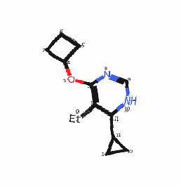 CCC1=C(OC2CCC2)N=CNC1C1CC1